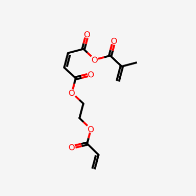 C=CC(=O)OCCOC(=O)/C=C\C(=O)OC(=O)C(=C)C